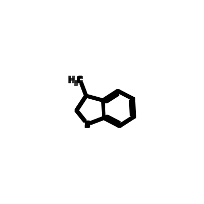 CC1CSc2ccccc21